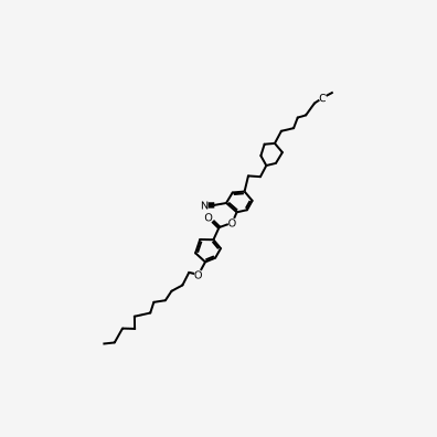 CCCCCCCCCCCOc1ccc(C(=O)Oc2ccc(CCC3CCC(CCCCCCC)CC3)cc2C#N)cc1